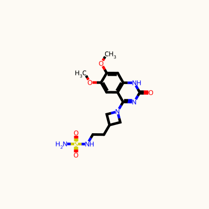 COc1cc2[nH]c(=O)nc(N3CC(CCNS(N)(=O)=O)C3)c2cc1OC